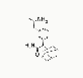 C[C@@H](N)Cc1cccc(C(C(N)=O)C23CC4CC(CC(C4)C2)C3)c1